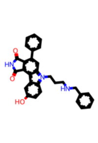 O=C1NC(=O)c2c1c(-c1ccccc1)cc1c2c2cc(O)ccc2n1CCCNCc1ccccc1